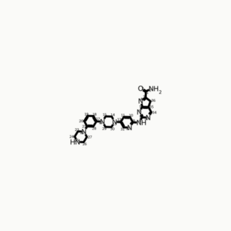 NC(=O)C1=Nc2nc(Nc3ccc(N4CCN(c5cccc(N6CCNCC6)c5)CC4)cn3)ncc2C1